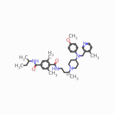 CCC(C)NC(=O)c1cc(C)c(C(=O)NCC[C@@H](C)N2CCC(N(Cc3cnccc3C)c3ccc(OC)cc3)CC2)c(C)c1